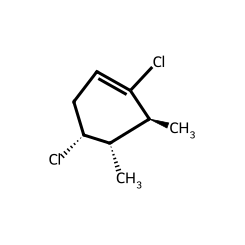 C[C@@H]1[C@H](Cl)CC=C(Cl)[C@H]1C